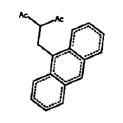 CC(=O)C(Cc1c2ccccc2cc2ccccc12)C(C)=O